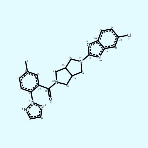 Cc1ccc(-n2nccn2)c(C(=O)N2CC3CN(c4nc5cc(Cl)ccc5o4)CC3C2)c1